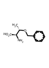 C[C@H](OCc1ccccc1)[C@@H](N)C(=O)O